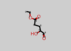 CCOC(=O)CCC(O)C=O